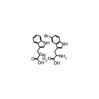 NC(Cc1c[nH]c2ccc(Br)cc12)C(=O)O.N[C@H](Cc1c[nH]c2ccccc12)C(=O)O